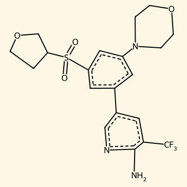 Nc1ncc(-c2cc(N3CCOCC3)cc(S(=O)(=O)C3CCOC3)c2)cc1C(F)(F)F